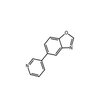 c1cncc(-c2ccc3ocnc3c2)c1